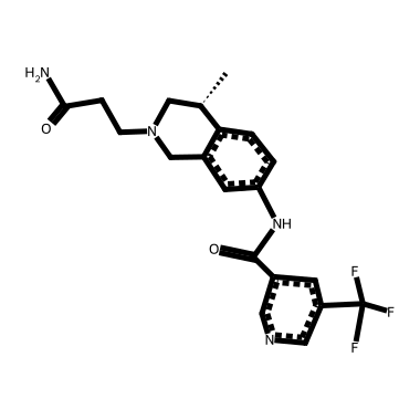 C[C@H]1CN(CCC(N)=O)Cc2cc(NC(=O)c3cncc(C(F)(F)F)c3)ccc21